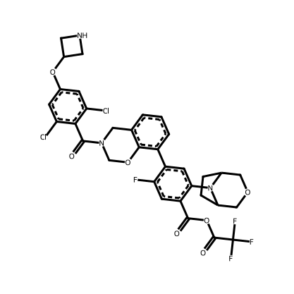 O=C(OC(=O)C(F)(F)F)c1cc(F)c(-c2cccc3c2OCN(C(=O)c2c(Cl)cc(OC4CNC4)cc2Cl)C3)cc1N1C2CCC1COC2